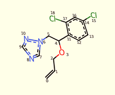 C=CCOC(Cn1cncn1)c1ccc(Cl)cc1Cl